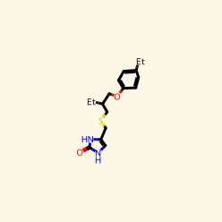 CCc1ccc(OCC(CC)CSCc2c[nH]c(=O)[nH]2)cc1